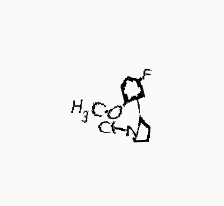 COc1ccc(F)cc1[C@H]1CCCN1Cl